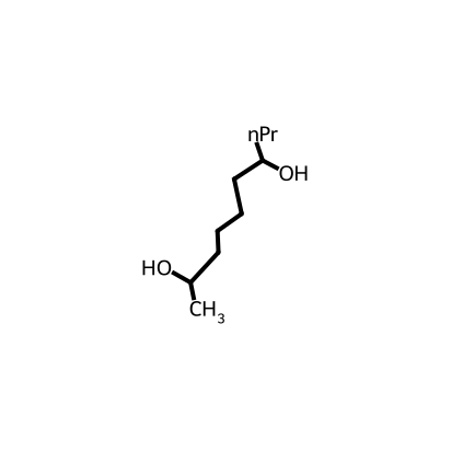 CCCC(O)CCCCC(C)O